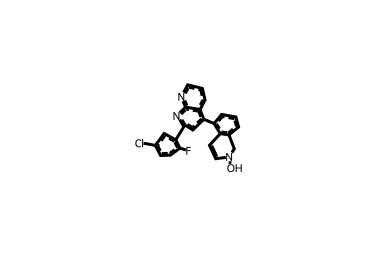 ON1C=Cc2c(cccc2-c2cc(-c3cc(Cl)ccc3F)nc3ncccc23)C1